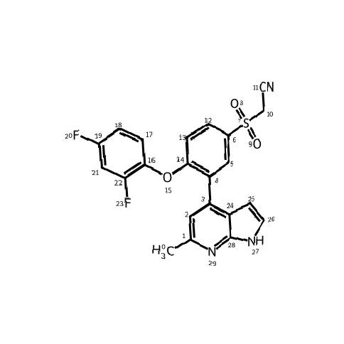 Cc1cc(-c2cc(S(=O)(=O)CC#N)ccc2Oc2ccc(F)cc2F)c2cc[nH]c2n1